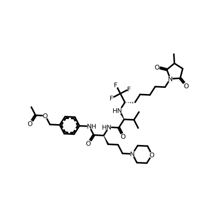 CC(=O)OCc1ccc(NC(=O)[C@H](CCCN2CCOCC2)NC(=O)[C@@H](N[C@@H](CCCCCN2C(=O)CC(C)C2=O)C(F)(F)F)C(C)C)cc1